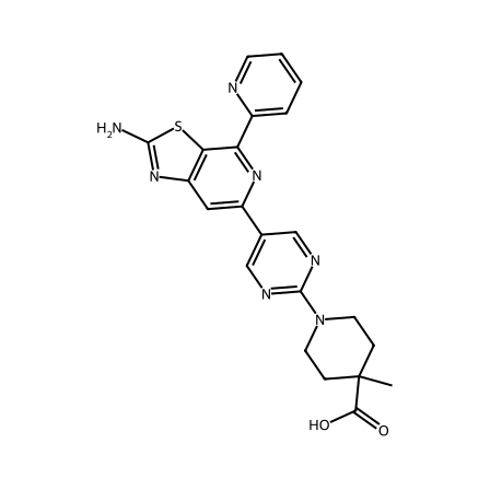 CC1(C(=O)O)CCN(c2ncc(-c3cc4nc(N)sc4c(-c4ccccn4)n3)cn2)CC1